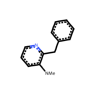 CNc1cccnc1Cc1ccccc1